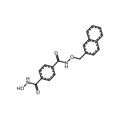 O=C(NO)c1ccc(C(=O)NOCc2ccc3ccccc3c2)cc1